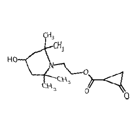 CC1(C)CC(O)CC(C)(C)N1CCOC(=O)C1CC1=O